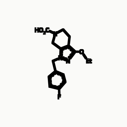 CCOc1nn(Cc2ccc(F)cc2)c2c1CCN(C(=O)O)C2